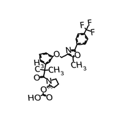 Cc1oc(-c2ccc(C(F)(F)F)cc2)nc1COc1cccc(C(C)(C)C(=O)N2CCC[C@H]2OC(=O)O)c1